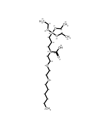 CCCCCCOCCOCCN(CCC[Si](OCC)(OCC)OCC)C(=O)O